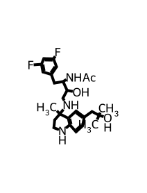 CC(=O)NC(Cc1cc(F)cc(F)c1)C(O)CNC1(C)CCNc2ccc(CC(C)(C)O)cc21